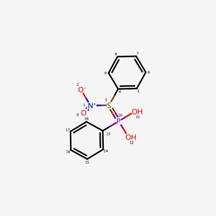 O=[N+]([O-])S(c1ccccc1)=P(O)(O)c1ccccc1